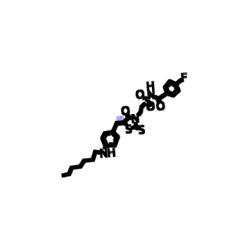 CCCCCCCNc1ccc(/C=C2\SC(=S)N(CCS(=O)(=O)NC(=O)c3ccc(F)cc3)C2=O)cc1